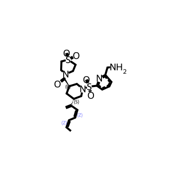 C=C(/C=C\C=C/C)[C@@H]1C[C@@H](C(=O)N2CCS(=O)(=O)CC2)CN(S(=O)(=O)c2cccc(CN)n2)C1